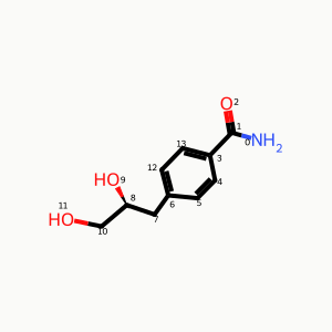 NC(=O)c1ccc(C[C@H](O)CO)cc1